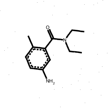 CCN(CC)C(=O)c1cc(N)ccc1C